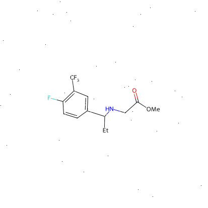 CCC(NCC(=O)OC)c1ccc(F)c(C(F)(F)F)c1